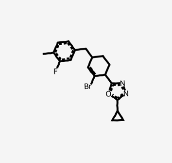 Cc1ccc(CC2C=C(Br)C(c3nnc(C4CC4)o3)CC2)cc1F